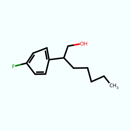 CCCCCC(CO)c1ccc(F)cc1